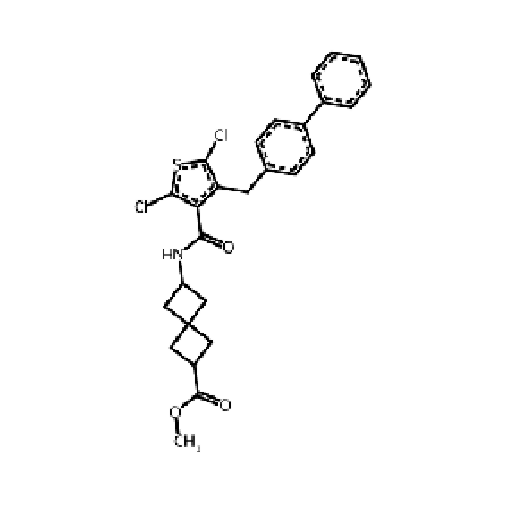 COC(=O)C1CC2(CC(NC(=O)c3c(Cl)sc(Cl)c3Cc3ccc(-c4ccccc4)cc3)C2)C1